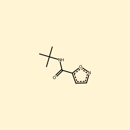 CC(C)(C)NC(=O)c1ccno1